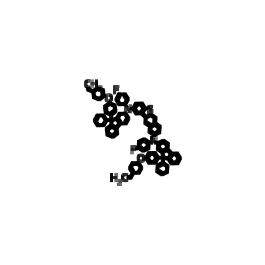 C=CC1=CC=C(Oc2ccc(C3(C4=CC=CCC4)c4ccccc4-c4ccc(N(c5ccc(F)cc5)c5ccc6c(c5)=CC5c7cc(N(C8C=CC(F)=CC8)C8C=CC9=C(C8)C(C8=CCC(OC%10=CCC(C=C)CC%10)C=C8)(C8CC=CCC8)c8ccccc89)ccc7SC5C=6)cc43)cc2)CC1